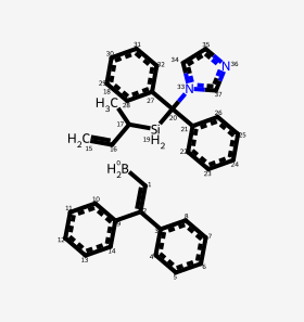 BC=C(c1ccccc1)c1ccccc1.C=CC(C)[SiH2]C(c1ccccc1)(c1ccccc1)n1ccnc1